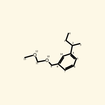 CCC(C)c1cccc(COCOC)c1